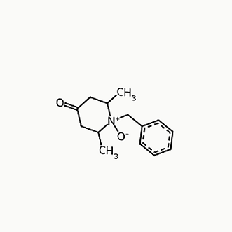 CC1CC(=O)CC(C)[N+]1([O-])Cc1ccccc1